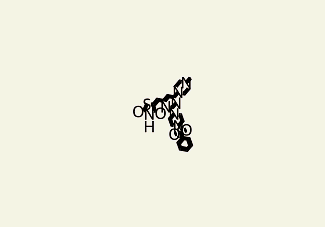 CN1CCN(c2cc(/C=C3/SC(=O)NC3=O)nc(N3CCN(S(=O)(=O)c4ccccc4)CC3)n2)CC1